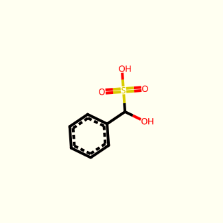 O=S(=O)(O)C(O)c1ccccc1